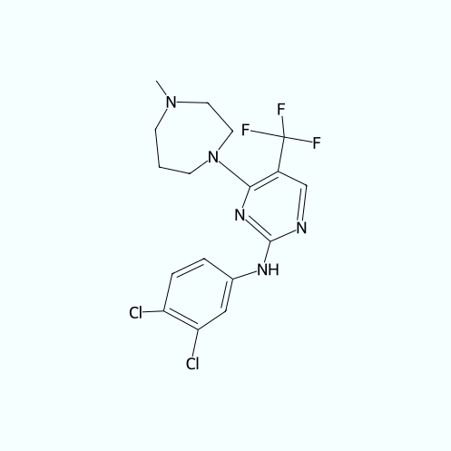 CN1CCCN(c2nc(Nc3ccc(Cl)c(Cl)c3)ncc2C(F)(F)F)CC1